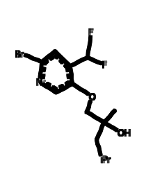 CC(C)CC(C)(O)COc1cnc(Br)cc1C(F)F